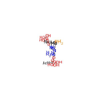 CC(=O)NC1C(OCCOCCN(N)/C=C(\N)CN(CCCCCBP)Cc2cn(CCOCCOC3OC(CO)C(O)C(O)C3NC(C)=O)nn2)OC(CO)C(O)C1O